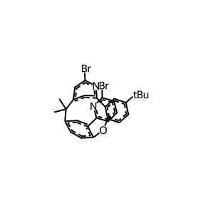 CC(C)(C)c1ccc2c(c1)-c1cc(cc(Br)n1)C(C)(C)c1ccc(c(-c3cccc(Br)n3)c1)O2